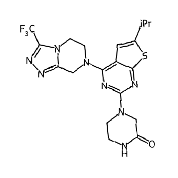 CC(C)c1cc2c(N3CCn4c(nnc4C(F)(F)F)C3)nc(N3CCNC(=O)C3)nc2s1